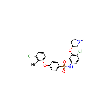 CN1CCC(Oc2cc(NS(=O)(=O)c3ccc(Oc4cccc(Cl)c4C#N)cc3)ccc2Cl)C1